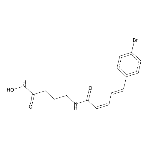 O=C(/C=C\C=C\c1ccc(Br)cc1)NCCCC(=O)NO